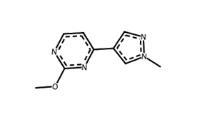 COc1nccc(-c2cnn(C)c2)n1